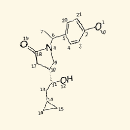 COc1ccc(C(C)N2C[C@H](C(O)CC3CC3)CC2=O)cc1